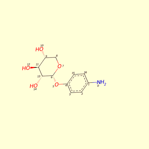 Nc1ccc(O[C@H]2OC[C@@H](O)[C@H](O)[C@H]2O)cc1